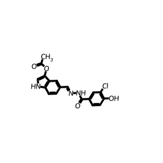 CC(=O)Oc1c[nH]c2ccc(C=NNC(=O)c3ccc(O)c(Cl)c3)cc12